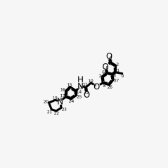 Cc1cc(=O)oc2cc(OCC(=O)Nc3ccc(N4CCCCC4)cc3)ccc12